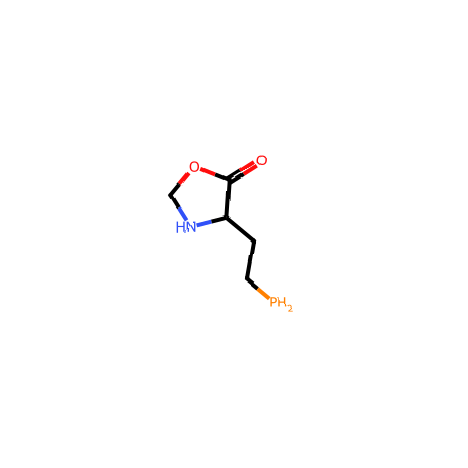 O=C1OCNC1CCP